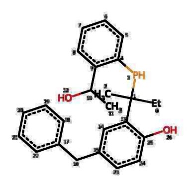 CCC(C)(Pc1ccccc1C(C)O)c1cc(Cc2ccccc2)ccc1O